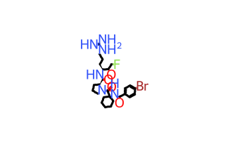 N=C(N)NCCC[C@H](NC(=O)[C@@H]1CCCN1C(=O)C1(NC(=O)c2ccc(Br)cc2)CCCCC1)C(=O)CF